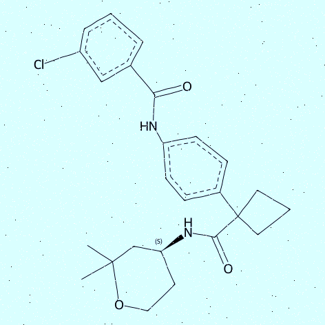 CC1(C)C[C@@H](NC(=O)C2(c3ccc(NC(=O)c4cccc(Cl)c4)cc3)CCC2)CCO1